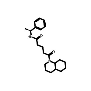 C[C@H](NC(=O)CCCC(=O)N1CCCC2CCCCC21)c1ccccc1